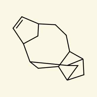 C1=CC2CC1CCC1C3CC2C2CC3CC21